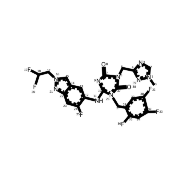 Cn1cnc(Cn2c(=O)nc(Nc3cc4cn(CC(F)F)nc4cc3F)n(Cc3cc(F)c(F)cc3F)c2=O)n1